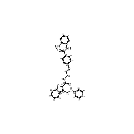 Nc1ccccc1NC(=O)c1ccc(OCCNC(=O)c2oc3ccccc3c2COc2ccccc2)cc1